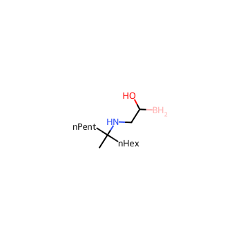 BC(O)CNC(C)(CCCCC)CCCCCC